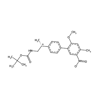 COc1cc(C)c([N+](=O)[O-])cc1-c1ccc([C@@H](C)CNC(=O)OC(C)(C)C)cc1